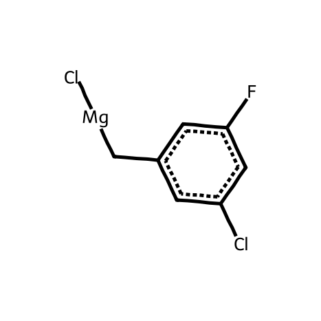 Fc1cc(Cl)cc([CH2][Mg][Cl])c1